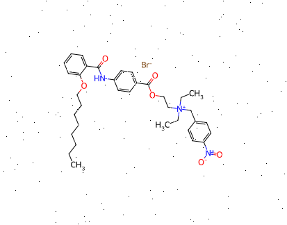 CCCCCCCCOc1ccccc1C(=O)Nc1ccc(C(=O)OCC[N+](CC)(CC)Cc2ccc([N+](=O)[O-])cc2)cc1.[Br-]